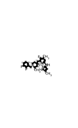 Cc1cc(Nc2cc(C)c(F)c(C[C@@]3(C(=O)O)CCN(Cc4cccc(F)c4F)[C@H](C)C3)n2)n[nH]1